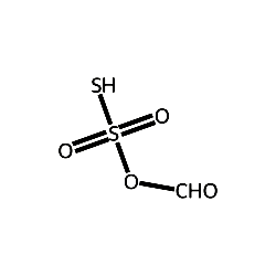 O=COS(=O)(=O)S